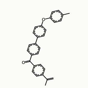 C=C(C)c1ccc(C(=O)c2ccc(-c3ccc(Oc4ccc(C)cc4)cc3)cc2)cc1